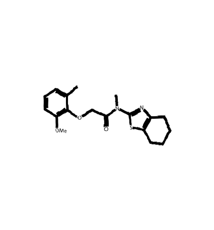 COc1cccc(C)c1OCC(=O)N(C)c1nc2c(s1)CCCC2